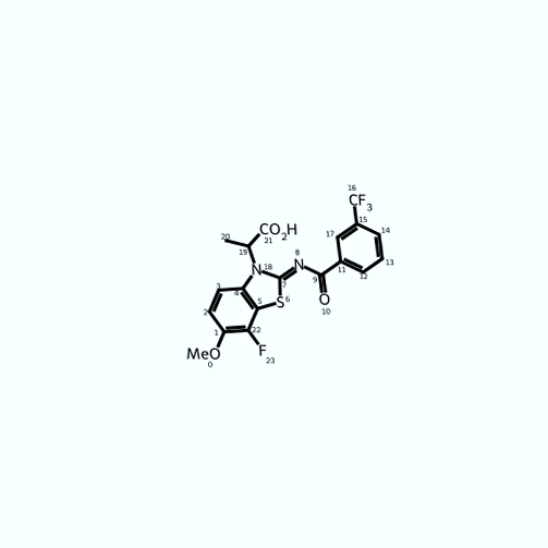 COc1ccc2c(s/c(=N\C(=O)c3cccc(C(F)(F)F)c3)n2C(C)C(=O)O)c1F